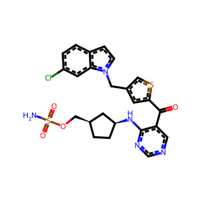 NS(=O)(=O)OC[C@@H]1CC[C@H](Nc2ncncc2C(=O)c2cc(Cn3ccc4ccc(Cl)cc43)cs2)C1